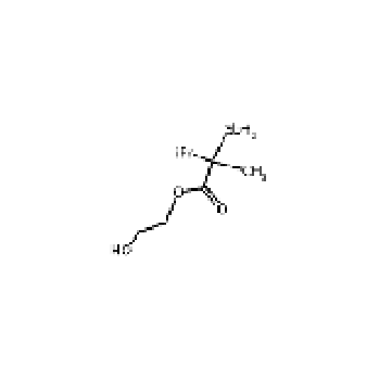 CC(C)[C](C)([SbH2])C(=O)OCCO